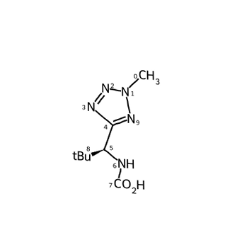 Cn1nnc([C@@H](NC(=O)O)C(C)(C)C)n1